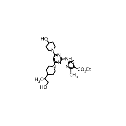 CCOC(=O)c1sc(Nc2nc(N3CCC(O)CC3)cc(N3CCC(C(C)CO)CC3)n2)nc1C